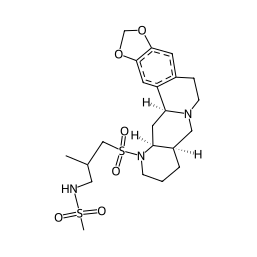 CC(CNS(C)(=O)=O)CS(=O)(=O)N1CCC[C@@H]2CN3CCc4cc5c(cc4[C@@H]3C[C@@H]21)OCO5